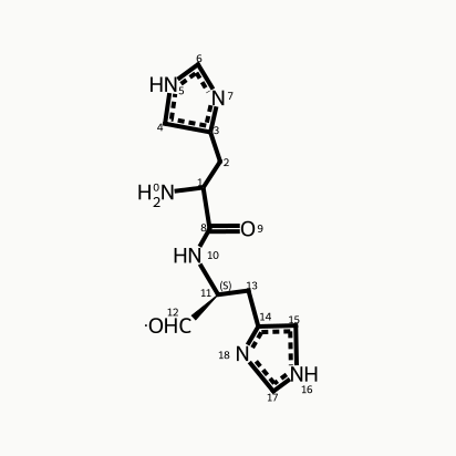 NC(Cc1c[nH]cn1)C(=O)N[C@H]([C]=O)Cc1c[nH]cn1